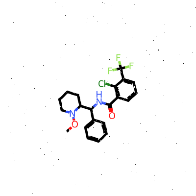 CON1CCCCC1C(NC(=O)c1cccc(C(F)(F)F)c1Cl)c1ccccc1